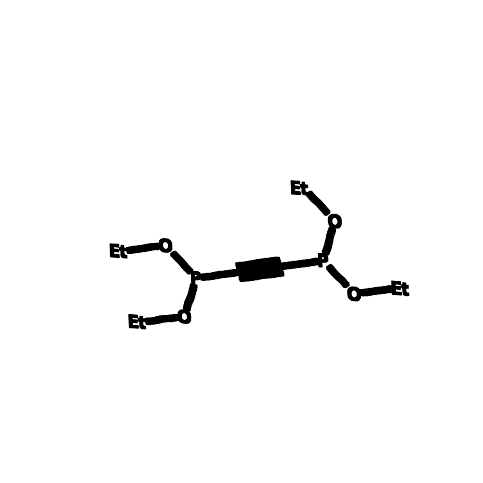 CCOP(C#CP(OCC)OCC)OCC